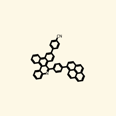 N#Cc1ccc(-c2ccc3c(c2)c2ccccc2c2c4ccccc4nc(-c4ccc(-c5ccc6ccc7cccc8ccc5c6c78)cc4)c32)cc1